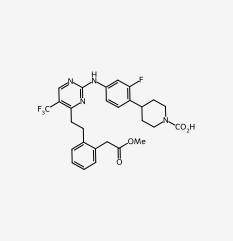 COC(=O)Cc1ccccc1CCc1nc(Nc2ccc(C3CCN(C(=O)O)CC3)c(F)c2)ncc1C(F)(F)F